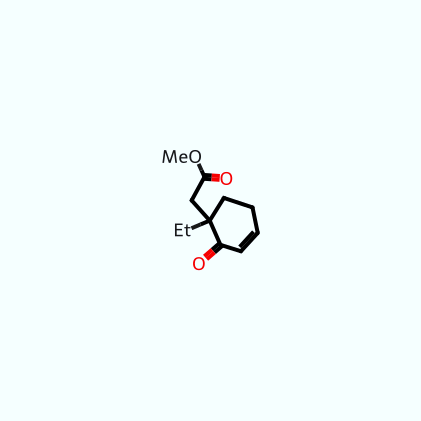 CCC1(CC(=O)OC)CCC=CC1=O